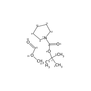 CC(C)(C)OC(=O)N1CCCCC1.COC=O